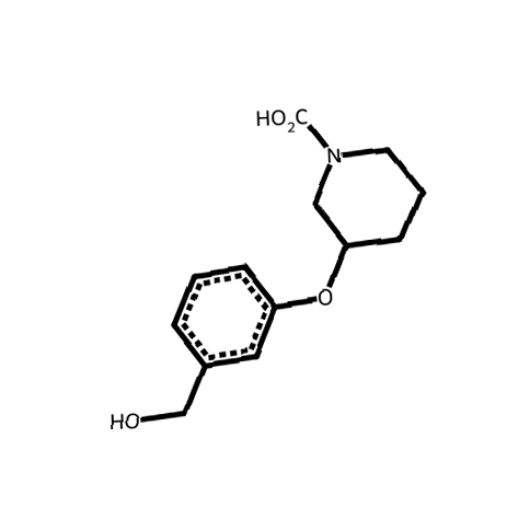 O=C(O)N1CCCC(Oc2cccc(CO)c2)C1